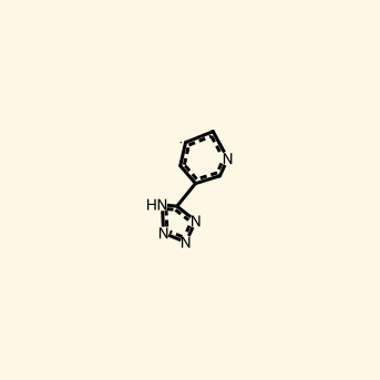 [c]1cncc(-c2nnn[nH]2)c1